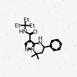 CCC(CC)(CC)NC(=O)c1cnn2c1NC(c1ccccc1)CC2(C)C